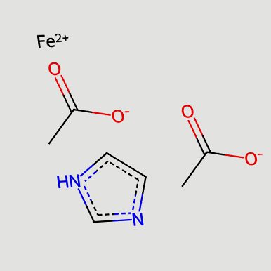 CC(=O)[O-].CC(=O)[O-].[Fe+2].c1c[nH]cn1